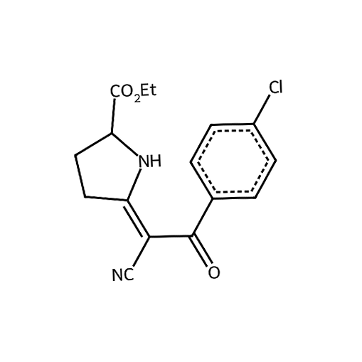 CCOC(=O)C1CCC(=C(C#N)C(=O)c2ccc(Cl)cc2)N1